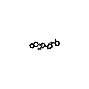 Cc1ccccc1Nc1cc(N2CC[C@@H](N3CCc4ccccc4C3)[C@H](O)C2)ncn1